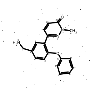 Cn1nc(-c2cc(CN)ccc2Oc2ccccc2)ccc1=O